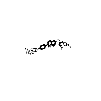 CCC(CF)Oc1ccc2nc(-c3ccc(N(CC)CC)cc3)ccc2c1